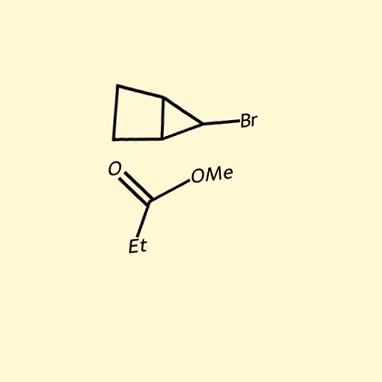 BrC1C2CCC12.CCC(=O)OC